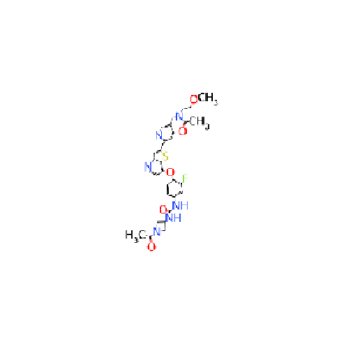 COCCN(Cc1ccc(-c2cc3nccc(Oc4ccc(NC(=O)NC5CN(C(C)=O)C5)cc4F)c3s2)nc1)C(C)=O